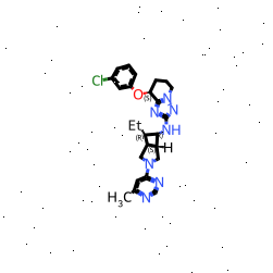 CC[C@@H]1C2CN(c3cc(C)ncn3)C[C@H]2[C@@H]1Nc1nc2n(n1)CCC[C@@H]2Oc1cccc(Cl)c1